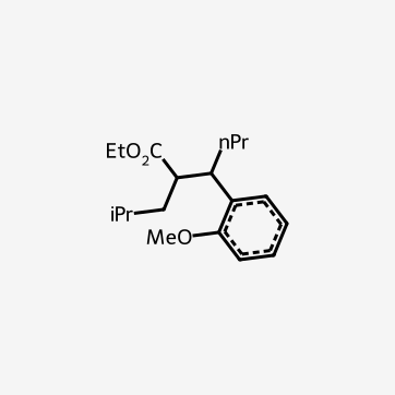 CCCC(c1ccccc1OC)C(CC(C)C)C(=O)OCC